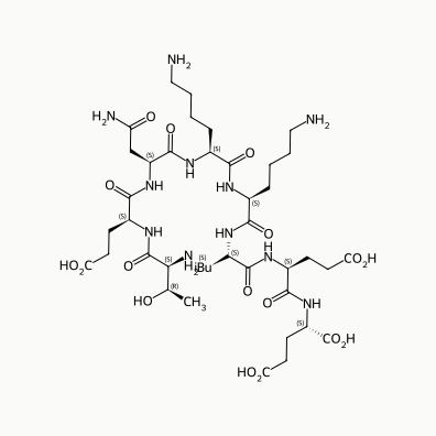 CC[C@H](C)[C@H](NC(=O)[C@H](CCCCN)NC(=O)[C@H](CCCCN)NC(=O)[C@H](CC(N)=O)NC(=O)[C@H](CCC(=O)O)NC(=O)[C@@H](N)[C@@H](C)O)C(=O)N[C@@H](CCC(=O)O)C(=O)N[C@@H](CCC(=O)O)C(=O)O